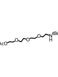 CC(=O)OCCOCCOCCOCCNC(C)(C)C